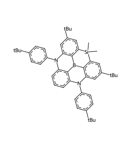 CC(C)(C)c1ccc(N2c3cccc4c3B3c5c2cc(C(C)(C)C)cc5[Si](C)(C)c2cc(C(C)(C)C)cc(c23)N4c2ccc(C(C)(C)C)cc2)cc1